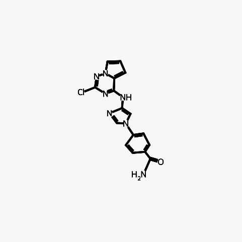 NC(=O)c1ccc(-n2cnc(Nc3nc(Cl)nn4cccc34)c2)cc1